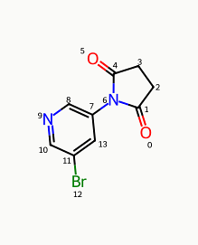 O=C1CCC(=O)N1c1cncc(Br)c1